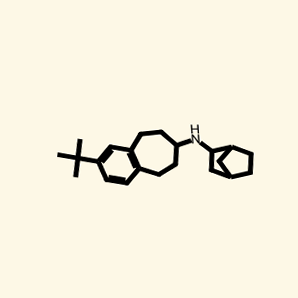 CC(C)(C)c1ccc2c(c1)CCC(NC1CC3CCC1C3)CC2